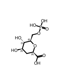 O=C(O)[C@H]1C[C@@H](O)[C@H](O)[C@@H](COP(=O)(O)O)O1